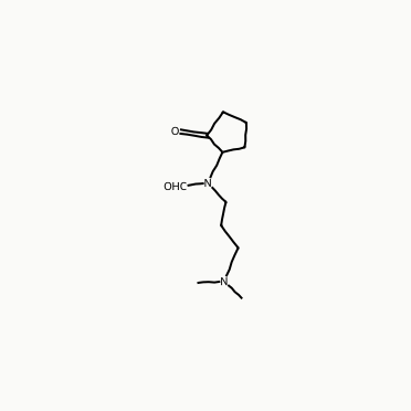 CN(C)CCCN(C=O)C1CCCC1=O